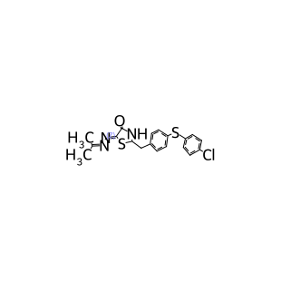 CC(C)=N/N=C1\SC(Cc2ccc(Sc3ccc(Cl)cc3)cc2)NC1=O